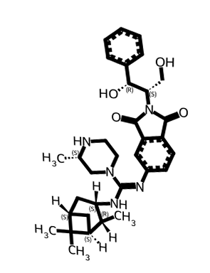 C[C@H]1[C@@H](NC(=Nc2ccc3c(c2)C(=O)N([C@@H](CO)[C@H](O)c2ccccc2)C3=O)N2CCN[C@@H](C)C2)C[C@@H]2C[C@@H]1C2(C)C